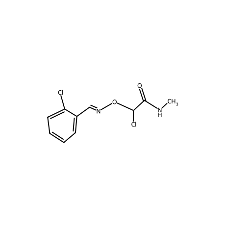 CNC(=O)C(Cl)ON=Cc1ccccc1Cl